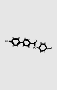 C[C@H]1CC[C@H](OC(=O)c2ccc(-c3ccc(F)cc3)cc2)CC1